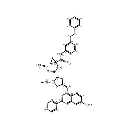 C=C[C@@H]1C[C@]1(NC(=O)[C@@H]1C[C@@H](Oc2cc(-c3ccccc3)nc3cc(OC)ccc23)C[C@@H]1NC(C)=O)C(=C)Nc1cccc(CCc2ccccc2)c1